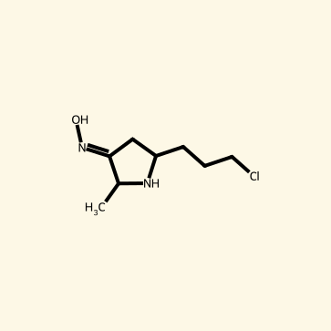 CC1NC(CCCCl)CC1=NO